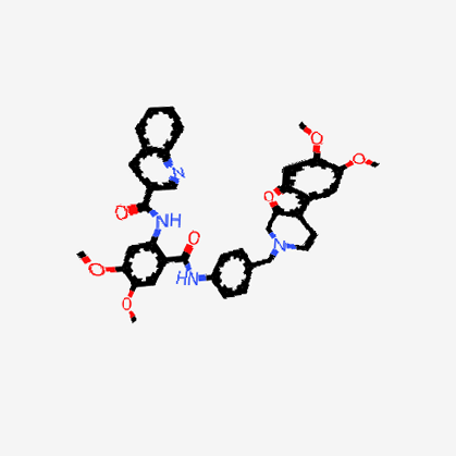 COc1cc(NC(=O)c2cnc3ccccc3c2)c(C(=O)Nc2ccc(CN3CCc4c(oc5cc(OC)c(OC)cc45)C3)cc2)cc1OC